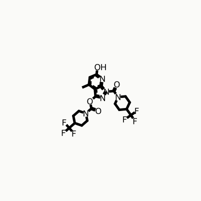 Cc1cc(O)nc2c1c(OC(=O)N1CCC(C(F)(F)F)CC1)nn2C(=O)N1CCC(C(F)(F)F)CC1